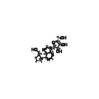 OC[C@@H]1CCCN1c1ncnc2c1ncn2[C@@H]1O[C@H](CO)C(O)C1O